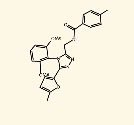 COc1cccc(OC)c1-n1c(CNC(=O)c2ccc(C)cc2)nnc1-c1ccc(C)o1